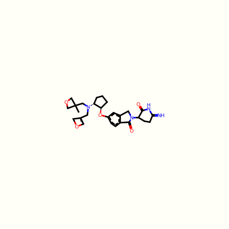 CC1(CN(CC2(C)COC2)[C@@H]2CCC[C@H]2Oc2ccc3c(c2)CN(C2CCC(=N)NC2=O)C3=O)COC1